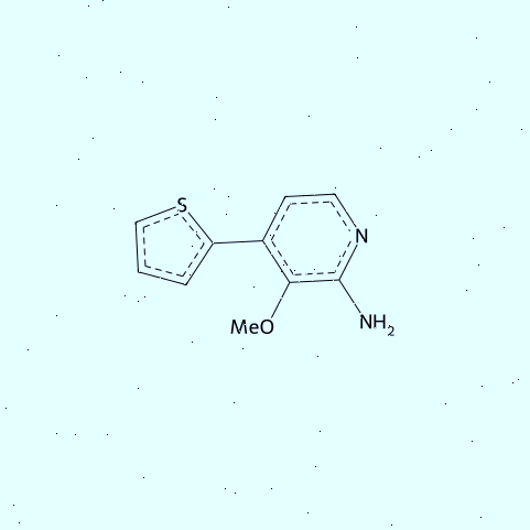 COc1c(-c2cccs2)ccnc1N